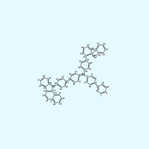 c1ccc(-c2ccc(N(c3ccc(-c4ccc(-n5c6ccccc6c6ccc7ccccc7c65)cc4)cc3)c3ccc(-c4cccc5c4oc4ccccc45)cc3)cc2)cc1